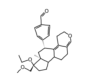 CCO[C@@]1(COC)CCC2C3CCC4=COCCC4=C3[C@@H](c3ccc(C=O)cc3)C[C@@]21C